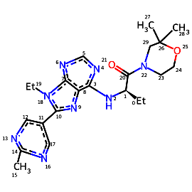 CC[C@@H](Nc1ncnc2c1nc(-c1cnc(C)nc1)n2CC)C(=O)N1CCOC(C)(C)C1